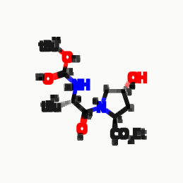 CCOC(=O)[C@@H]1C[C@@H](O)CN1C(=O)[C@@H](NC(=O)OC(C)(C)C)C(C)(C)C